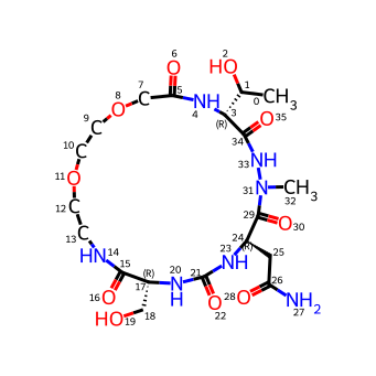 CC(O)[C@H]1NC(=O)COCCOCCNC(=O)[C@@H](CO)NC(=O)N[C@H](CC(N)=O)C(=O)N(C)NC1=O